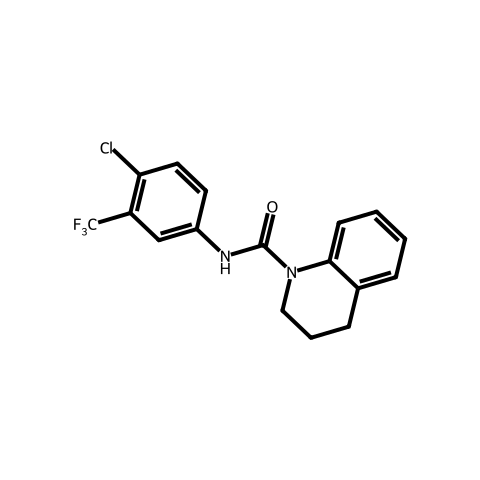 O=C(Nc1ccc(Cl)c(C(F)(F)F)c1)N1CCCc2ccccc21